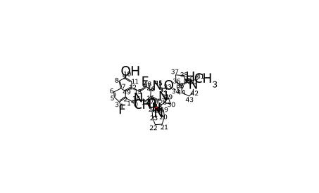 C#Cc1c(F)ccc2cc(O)cc(-c3ncc4c(N5CC6CCC(C5)N6C(=O)C5CC5)nc(OC[C@]56CCC[C@H]5N(C)CCC6)nc4c3F)c12